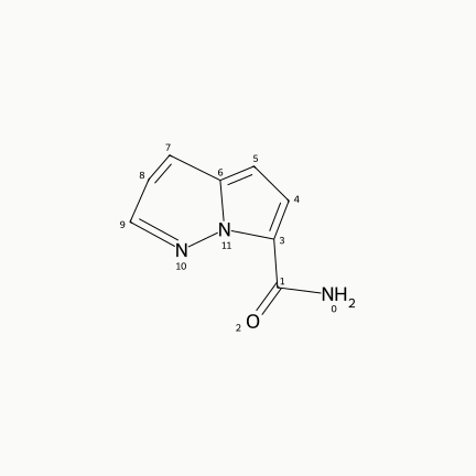 NC(=O)c1ccc2cccnn12